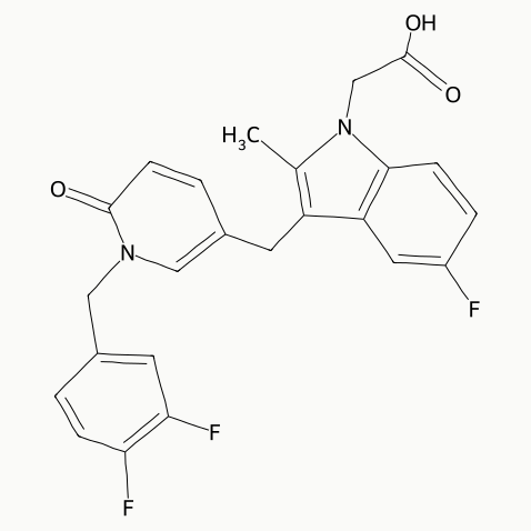 Cc1c(Cc2ccc(=O)n(Cc3ccc(F)c(F)c3)c2)c2cc(F)ccc2n1CC(=O)O